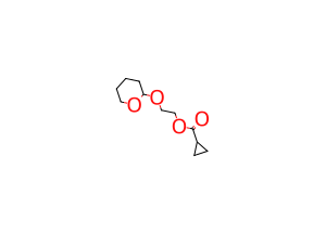 O=C(OCCOC1CCCCO1)C1CC1